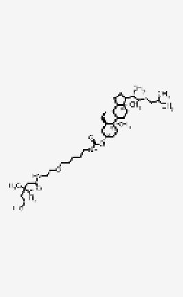 CC(C)CCCC(C)C1CCC2C3CC=C4C[C@@H](OC(=O)NCCCCCOCCNC(=O)CC(C)(C)CCO)CC[C@]4(C)C3CC[C@]12C